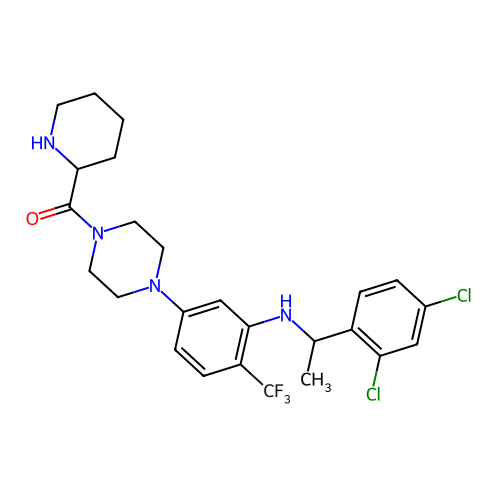 CC(Nc1cc(N2CCN(C(=O)C3CCCCN3)CC2)ccc1C(F)(F)F)c1ccc(Cl)cc1Cl